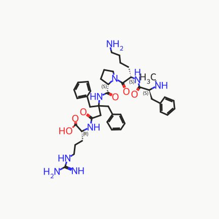 CN[C@@H](Cc1ccccc1)C(=O)N[C@@H](CCCCN)C(=O)N1CCC[C@H]1C(=O)NC(CC(=O)N[C@H](CCCNC(=N)N)C(=O)O)(Cc1ccccc1)Cc1ccccc1